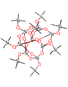 C[Si](C)(C)O[Si]12O[Si]3(O[Si](C)(C)C)O[Si]4(O[Si](C)(C)C)O[Si](O[Si](C)(C)C)(O1)O[Si]1(O[Si](C)(C)C)O[Si](O[Si](C)(C)C)(O2)O[Si](O[Si](C)(C)C)(O3)O[Si](O[Si](C)(C)C)(O4)O1